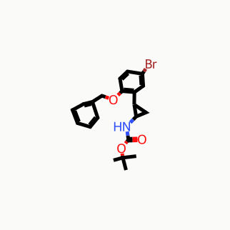 CC(C)(C)OC(=O)NC1CC1c1cc(Br)ccc1OCc1ccccc1